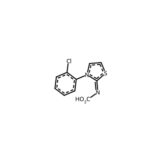 O=C(O)/N=c1/sccn1-c1ccccc1Cl